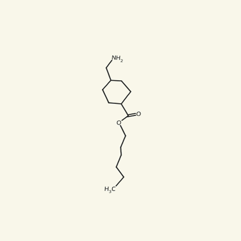 CCCCCCOC(=O)C1CCC(CN)CC1